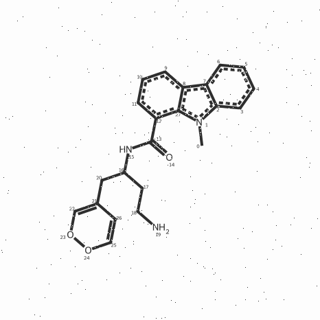 Cn1c2ccccc2c2cccc(C(=O)NC(CCN)CC3=COOC=C3)c21